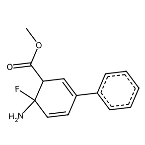 COC(=O)C1C=C(c2ccccc2)C=CC1(N)F